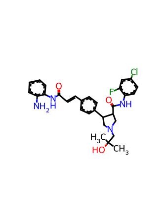 CC(C)(O)CN1CC(C(=O)Nc2ccc(Cl)cc2F)C(c2ccc(/C=C/C(=O)Nc3ccccc3N)cc2)C1